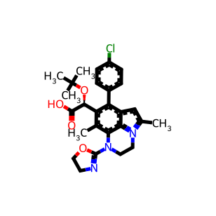 Cc1c([C@H](OC(C)(C)C)C(=O)O)c(-c2ccc(Cl)cc2)c2cc(C)n3c2c1N(C1=NCCO1)CC3